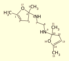 CC1=CCC(C)(NCCNC2(C)CC=C(C)O2)O1